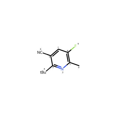 Cc1nc(C(C)(C)C)c(C#N)cc1F